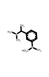 CC(c1cccc(N(C)C(=O)O)c1)N(C)C